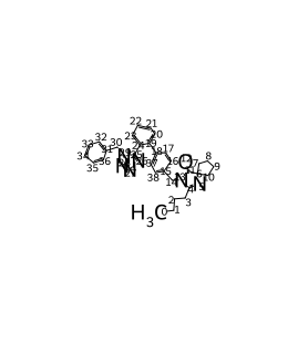 CCCCC1=NC2(CCCC2)C(=O)N1Cc1ccc(-c2ccccc2-c2nnnn2Cc2ccccc2)cc1